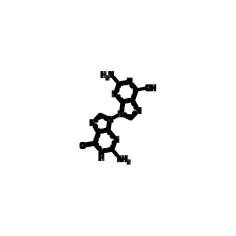 Nc1nc(O)c2ncn(-n3cnc4c(=O)[nH]c(N)nc43)c2n1